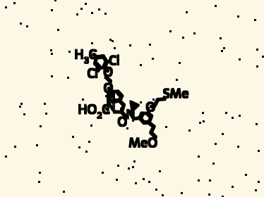 COCCCc1cc(CN(C(=O)C(CNC(=O)O)Cc2ccc(OCCOc3c(Cl)cc(C)cc3Cl)cc2)C2CC2)cc(OCCCSC)c1